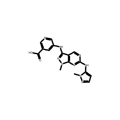 Cn1nccc1Nc1ncc2c(Nc3cncc(C(=O)O)c3)nn(C)c2n1